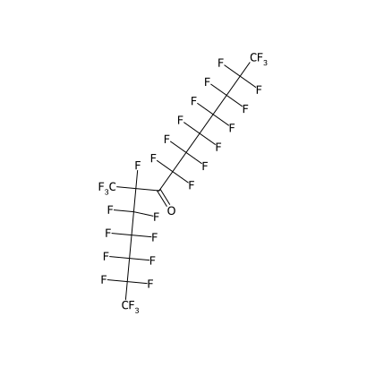 O=C(C(F)(F)C(F)(F)C(F)(F)C(F)(F)C(F)(F)C(F)(F)C(F)(F)F)C(F)(C(F)(F)F)C(F)(F)C(F)(F)C(F)(F)C(F)(F)C(F)(F)F